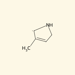 CC1=CCN[CH]1